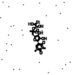 CCC(O)P(=O)(O)OC(C)(CC)C[C@H]1O[C@@H](c2cn(C)c(=O)n(C)c2=O)[C@H](O)[C@@H]1O